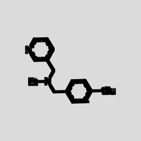 CCN(Cc1c[c]c(C(C)(C)C)cc1)Cc1cccnc1